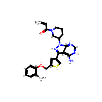 C=CC(=O)N1CCCC(n2nc(-c3csc(COc4ccccc4OC)c3)c3c(N)ncnc32)C1